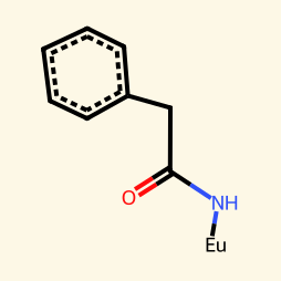 O=C(Cc1ccccc1)[NH][Eu]